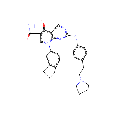 NC(=O)c1cn(-c2ccc3c(c2)CCC3)c2nc(Nc3ccc(CCN4CCCC4)cc3)ncc2c1=O